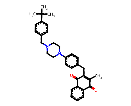 CC1=C(Cc2ccc(N3CCN(Cc4ccc(C(C)(C)C)cc4)CC3)cc2)C(=O)c2ccccc2C1=O